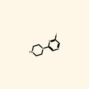 Ic1cncc(N2CCNCC2)n1